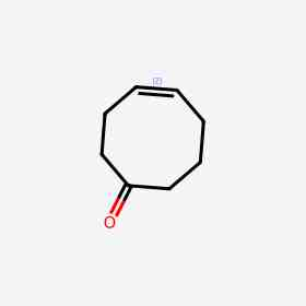 O=C1CC/C=C\CCC1